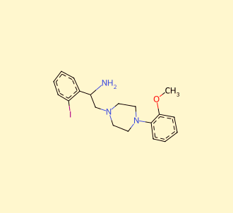 COc1ccccc1N1CCN(CC(N)c2ccccc2I)CC1